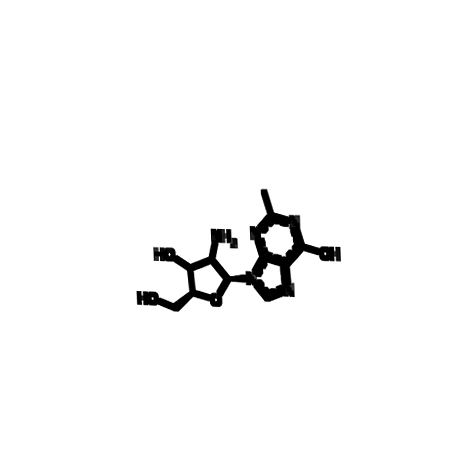 Cc1nc(O)c2ncn([C@H]3O[C@@H](CO)C(O)C3N)c2n1